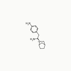 Nc1ccc(CC(N)[C@H]2CC3CCC2C3)cc1